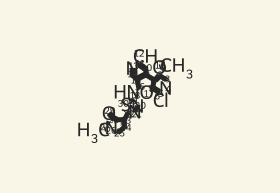 COc1cnc(Cl)cc1-c1cc(C)ncc1C(=O)Nc1nnc(C2CCN(C)C2=O)s1